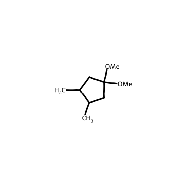 COC1(OC)CC(C)C(C)C1